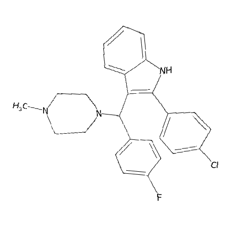 CN1CCN(C(c2ccc(F)cc2)c2c(-c3ccc(Cl)cc3)[nH]c3ccccc23)CC1